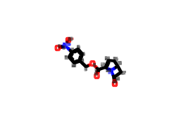 O=C(OCc1ccc([N+](=O)[O-])cc1)C1=CCC2CC(=O)N12